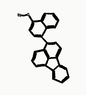 CCOc1ccc(-c2ccc3c4c(cccc24)-c2ccccc2-3)c2ccccc12